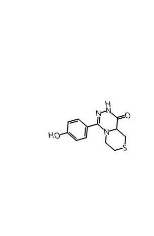 O=C1NN=C(c2ccc(O)cc2)N2CCSCC12